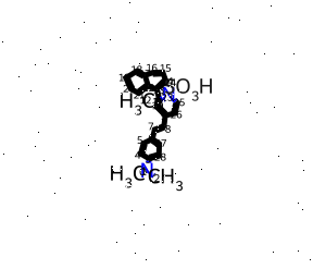 CN(C)c1ccc(C=CC2=CC(C)(c3cccc4ccccc34)N(S(=O)(=O)O)C=C2)cc1